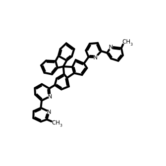 Cc1cccc(-c2cccc(-c3ccc4c(c3)C3(c5ccccc5-c5ccccc53)c3cc(-c5cccc(-c6cccc(C)n6)n5)ccc3-4)n2)n1